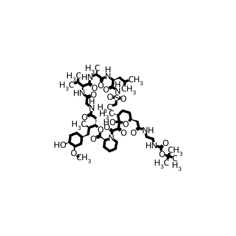 CCS(=O)(=O)NC(=O)[C@H](CC(C)C)NC(=O)[C@H](C)NC(=O)[C@@H](NC(=O)CNC(=O)C[C@H](OC(=O)[C@@H]1CCCCN1C(=O)C(=O)C1(O)O[C@H](CC(=O)NCCNC(=O)OC(C)(C)C)CC[C@H]1C)[C@H](C)C[C@@H]1CC[C@@H](O)[C@H](OC)C1)C(C)C